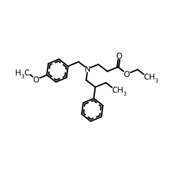 CCOC(=O)CCN(Cc1ccc(OC)cc1)CC(CC)c1ccccc1